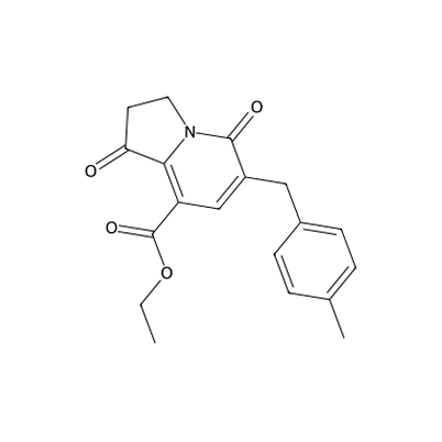 CCOC(=O)c1cc(Cc2ccc(C)cc2)c(=O)n2c1C(=O)CC2